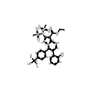 CCOC(=O)c1c(N(S(C)(=O)=O)S(C)(=O)=O)nn2c(-c3ccc(C(F)(F)F)cc3)c(-c3ccccc3Cl)cnc12